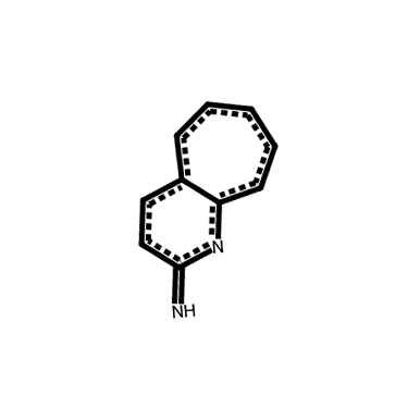 N=c1ccc2cccccc-2n1